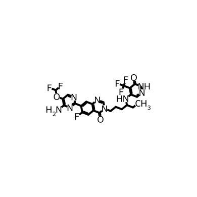 CCC(CCCn1cnc2cc(-c3ncc(OC(F)F)c(N)n3)c(F)cc2c1=O)Nc1cn[nH]c(=O)c1C(F)(F)F